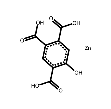 O=C(O)c1cc(C(=O)O)c(C(=O)O)cc1O.[Zn]